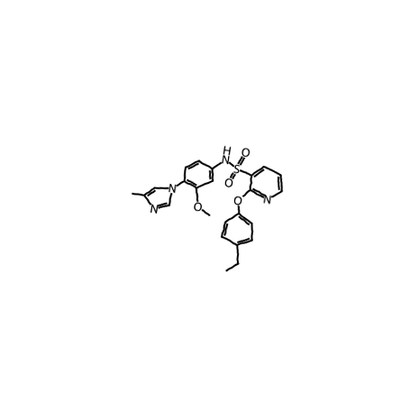 CCc1ccc(Oc2ncccc2S(=O)(=O)Nc2ccc(-n3cnc(C)c3)c(OC)c2)cc1